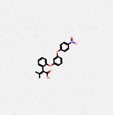 CC(C)=C(C(=O)O)c1ccccc1Oc1cccc(Oc2ccc([N+](=O)[O-])cc2)c1